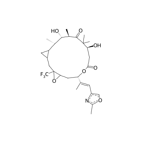 C/C(=C\c1coc(C)n1)[C@@H]1CC2OC2(C(F)(F)F)CC2CC2[C@H](C)[C@H](O)[C@@H](C)C(=O)C(C)(C)[C@@H](O)CC(=O)O1